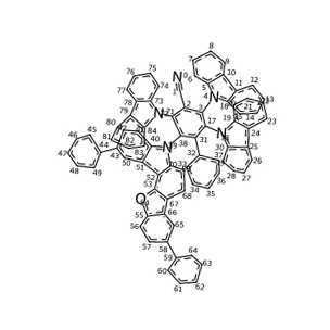 N#Cc1c(-n2c3ccccc3c3ccccc32)c(-n2c3ccccc3c3ccccc32)c(-c2ccccc2)c(-n2c3ccc(-c4ccccc4)cc3c3c4oc5ccc(-c6ccccc6)cc5c4ccc32)c1-n1c2ccccc2c2ccccc21